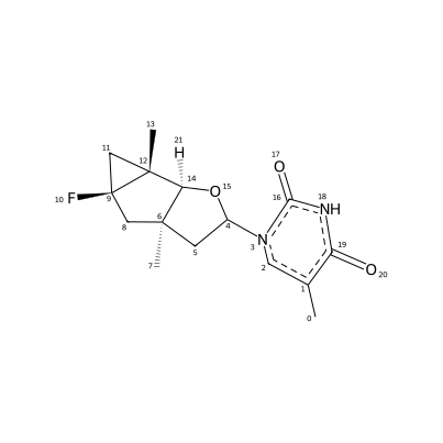 Cc1cn(C2C[C@@]3(C)C[C@]4(F)C[C@]4(C)[C@H]3O2)c(=O)[nH]c1=O